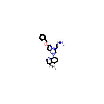 CC1CC=NC2=C1CCC[C@@H]2N(CCCCN)C[C@@H]1CC(OCc2ccccc2)CN1